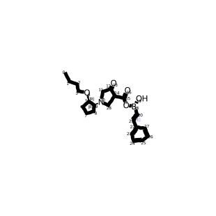 CCCCO[C@@H]1CCC[C@H]1N1CC(=O)C(C(=O)OB(O)/C=C/c2ccccc2)C1